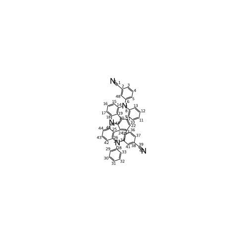 N#Cc1cccc(N(c2ccccc2)c2cccc3c2c2cccc4c5c(N(c6ccccc6)c6cccc(C#N)c6)cccc5n3c24)c1